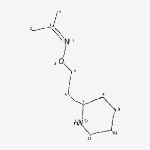 CC(C)=NOCCC1CCCCN1